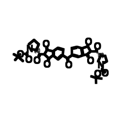 CC(C)(C)OC(=O)N1CC[C@@H](C(=O)C2C(=O)c3ccc(C(=O)c4ccc5c(c4)C(=O)C(C(=O)[C@H]4CCCN4C(=O)OC(C)(C)C)C5=O)cc3C2=O)C1